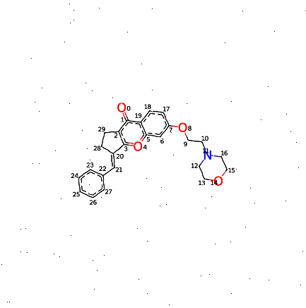 O=c1c2c(oc3cc(OCCN4CCOCC4)ccc13)C(=Cc1ccccc1)CC2